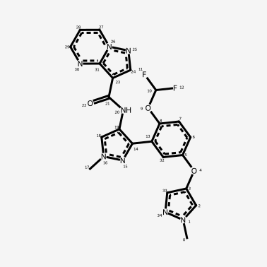 Cn1cc(Oc2ccc(OC(F)F)c(-c3nn(C)cc3NC(=O)c3cnn4cccnc34)c2)cn1